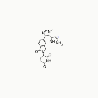 Cn1cnc(-c2ccc3c(c2)CN(C2CCC(=O)NC2=O)C3=O)c1C(=N)/C=C\N